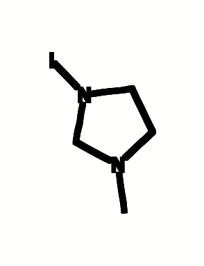 CN1CCN(I)C1